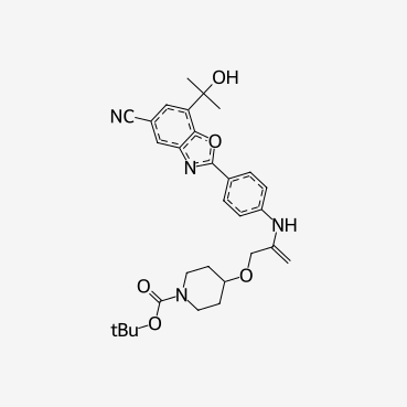 C=C(COC1CCN(C(=O)OC(C)(C)C)CC1)Nc1ccc(-c2nc3cc(C#N)cc(C(C)(C)O)c3o2)cc1